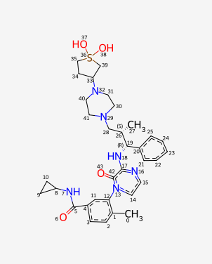 Cc1ccc(C(=O)NC2CC2)cc1-n1ccnc(N[C@@H](c2ccccc2)[C@@H](C)CN2CCN(C3CCS(O)(O)C3)CC2)c1=O